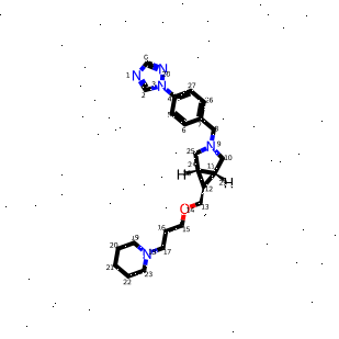 c1ncn(-c2ccc(CN3C[C@@H]4[C@@H](COCCCN5CCCCC5)[C@@H]4C3)cc2)n1